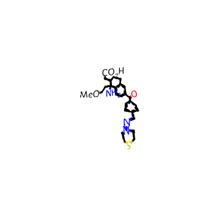 COCCC1(N)c2ccc(C(=O)c3ccc(C=NN4CCSCC4)cc3)cc2CCC1CC(=O)O